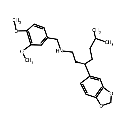 COc1ccc(CNCC[C@@H](CCC(C)C)c2ccc3c(c2)OCO3)cc1OC